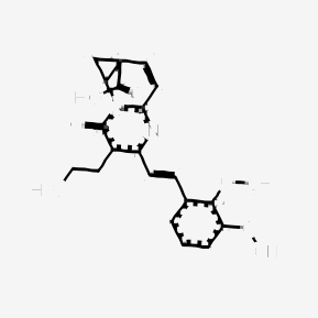 CCCc1c(/C=C/c2cccc(OC)c2OC)nc2n(c1=O)C1CC1(C(=O)O)C=C2